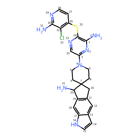 Nc1nc(N2CCC3(CC2)Cc2cc4cc[nH]c4cc2C3N)cnc1Sc1ccnc(N)c1Cl